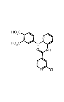 O=C(Nc1ccccc1Oc1ccc(C(=O)O)c(C(=O)O)c1)c1ccnc(Cl)c1